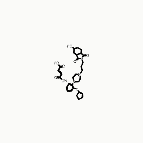 O=C(O)C=CC(=O)O.O=C1C2CCC(O)CC2C(=O)N1CCCN1CCN(c2ccccc2OC2CCCC2)CC1